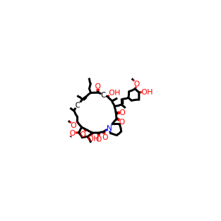 CCCC1/C=C(\C)CC(C)CC(OC)C2C(=O)C(O)(C(=O)C(=O)N3CCCCC3C(=O)C(=O)C(C(C)=CC3CCC(O)C(OC)C3)C(C)C(O)CC1=O)C(C)CC2OC